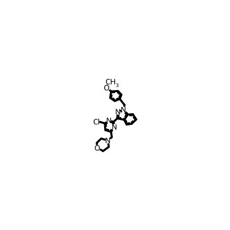 COc1ccc(Cn2nc(-c3nc(Cl)cc(CN4CCOCC4)n3)c3ccccc32)cc1